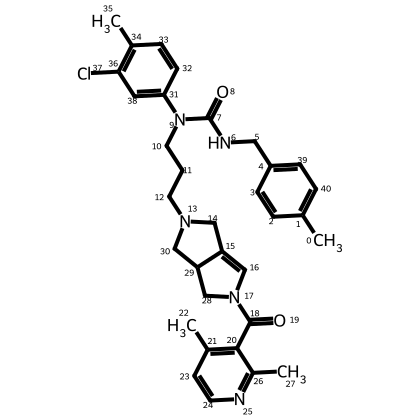 Cc1ccc(CNC(=O)N(CCCN2CC3=CN(C(=O)c4c(C)ccnc4C)CC3C2)c2ccc(C)c(Cl)c2)cc1